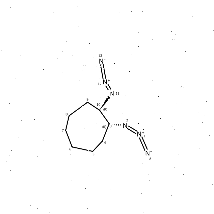 [N-]=[N+]=N[C@@H]1CCCCCC[C@H]1N=[N+]=[N-]